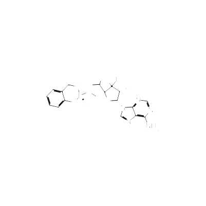 Nc1ncnc2c1ncn2[C@@H]1O[C@@](COP2(=S)OCc3ccccc3O2)(C(F)F)C(F)(F)[C@@H]1O